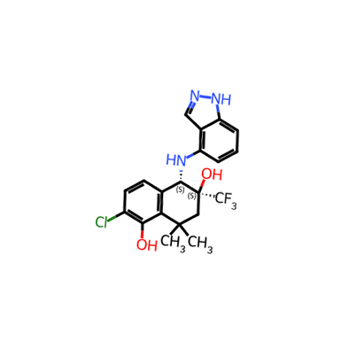 CC1(C)C[C@@](O)(C(F)(F)F)[C@@H](Nc2cccc3[nH]ncc23)c2ccc(Cl)c(O)c21